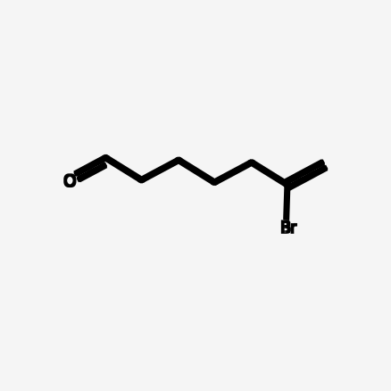 C=C(Br)CCCCC=O